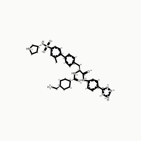 Cc1cc(S(=O)(=O)N[C@@H]2CCNC2)ccc1-c1ccc(C[C@H](NC(=O)[C@H]2CC[C@H](CN)CC2)C(=O)Nc2ccc(-c3nn[nH]n3)cc2)cc1